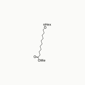 CCCCCCOCCCCCCCCCCC(=O)OC